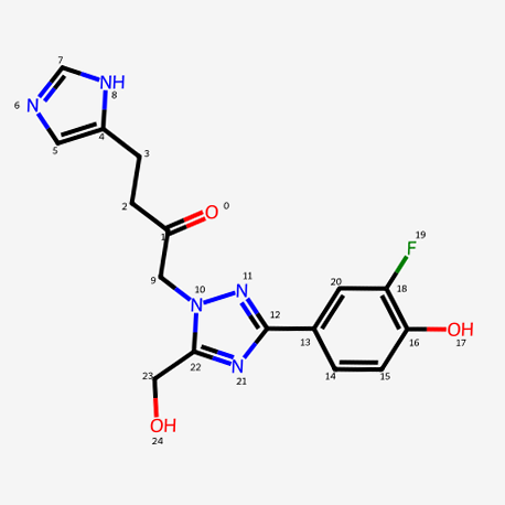 O=C(CCc1cnc[nH]1)Cn1nc(-c2ccc(O)c(F)c2)nc1CO